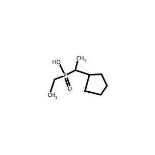 CCP(=O)(O)C(C)C1CCCC1